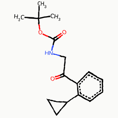 CC(C)(C)OC(=O)NCC(=O)c1ccccc1C1CC1